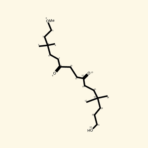 COCCC(C)(C)CCC(=O)CCC(=O)CCC(C)(C)CCCO